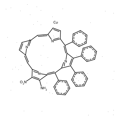 NC1=C([N+](=O)[O-])C2=NC1=C(c1ccccc1)C1=NC(=C(c3ccccc3)C3=NC(=CC4=NC(=C2)C=C4)C=C3)C(c2ccccc2)=C1c1ccccc1.[Cu]